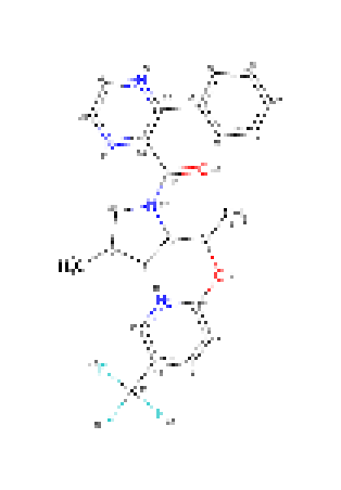 CC1CC(C(C)Oc2ccc(C(F)(F)F)cn2)N(C(=O)c2nccnc2-c2ccccc2)C1